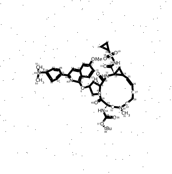 COc1ccc2c(OC3C[C@H]4C(=O)N[C@]5(C(=O)NS(=O)(=O)C6CC6)CC5/C=C\CCCN(C)C[C@H](NC(=O)OC(C)(C)C)C(=O)N4C3)nc(-c3ccc(N(C)C)cc3)cc2c1